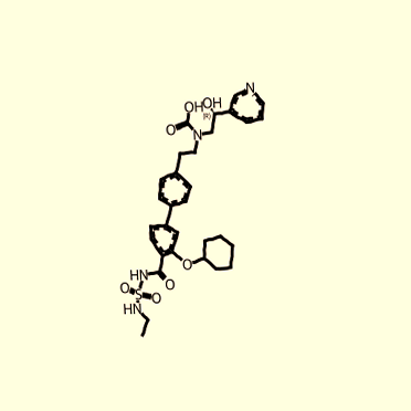 CCNS(=O)(=O)NC(=O)c1ccc(-c2ccc(CCN(C[C@H](O)c3cccnc3)C(=O)O)cc2)cc1OC1CCCCC1